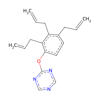 C=CCc1ccc(Oc2ncncn2)c(CC=C)c1CC=C